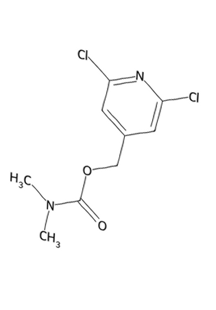 CN(C)C(=O)OCc1cc(Cl)nc(Cl)c1